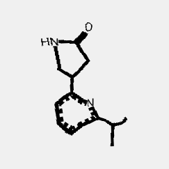 CC(C)c1cccc(C2CNC(=O)C2)n1